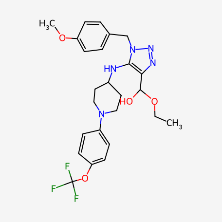 CCOC(O)c1nnn(Cc2ccc(OC)cc2)c1NC1CCN(c2ccc(OC(F)(F)F)cc2)CC1